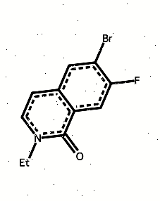 CCn1ccc2cc(Br)c(F)cc2c1=O